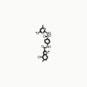 COc1cc(C)nc(NS(=O)(=O)c2ccc(NC(=O)c3cc4c(Cl)c(C)ccc4n3C)cc2)n1